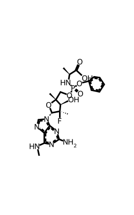 CNc1nc(N)nc2c1ncn2[C@@H]1O[C@](C)(COP(=O)(N[C@@H](C)C(=O)O)Oc2ccccc2)[C@@H](O)[C@@]1(C)F